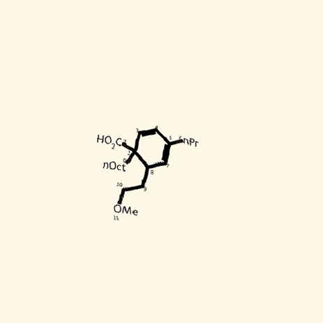 CCCCCCCCC1(C(=O)O)C=CC(CCC)=CC1CCOC